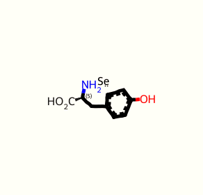 N[C@@H](Cc1ccc(O)cc1)C(=O)O.[Se]